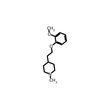 COc1ccccc1OCCC1CCN(C)CC1